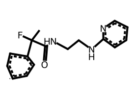 CC(F)(C(=O)NCCNc1ccccn1)c1cc[c]cc1